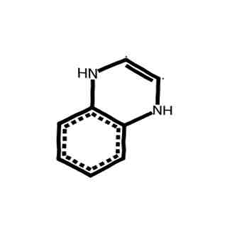 [C]1=[C]Nc2ccccc2N1